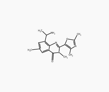 Cc1cc(C(C)N)c2nc(-c3oc(C)nc3C)n(C)c(=O)c2c1